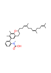 CC(C)=CCCC(C)=CCCC(C)=CCCC1CCc2cc(-c3ccccc3N(C)C(=O)O)c(C)c(C)c2O1